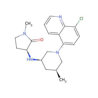 C[C@H]1C[C@@H](N[C@H]2CCN(C)C2=O)CN(c2ccc(Cl)c3ncccc23)C1